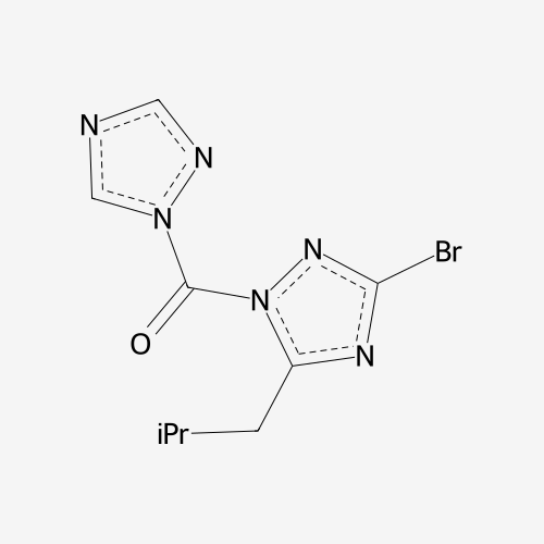 CC(C)Cc1nc(Br)nn1C(=O)n1cncn1